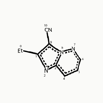 CCc1nc2cccnn2c1C#N